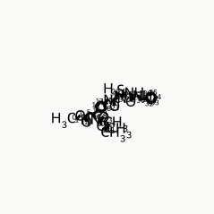 CCOC(=O)CC(NC(=O)OC(C)(C)C)c1ccc(NC(=O)c2csc(NC(=O)NCc3ccccc3)n2)cc1